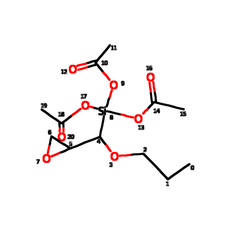 CCCOC(C1CO1)[Si](OC(C)=O)(OC(C)=O)OC(C)=O